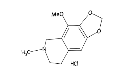 COc1c2c(cc3c1OCO3)CCN(C)C2.Cl